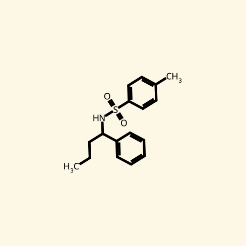 CCCC(NS(=O)(=O)c1ccc(C)cc1)c1ccccc1